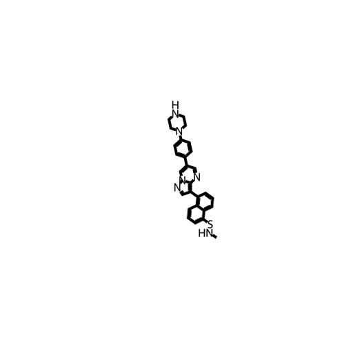 CNSc1cccc2c(-c3cnn4cc(-c5ccc(N6CCNCC6)cc5)cnc34)cccc12